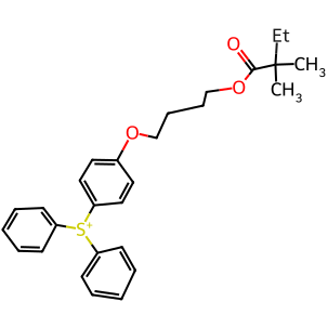 CCC(C)(C)C(=O)OCCCCOc1ccc([S+](c2ccccc2)c2ccccc2)cc1